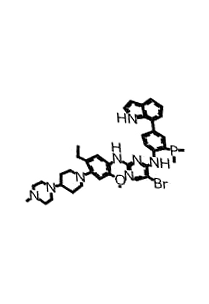 CCc1cc(Nc2ncc(Br)c(Nc3ccc(-c4cccc5cc[nH]c45)cc3P(C)C)n2)c(OC)cc1N1CCC(N2CCN(C)CC2)CC1